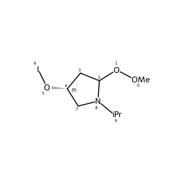 COOC1C[C@@H](OI)CN1C(C)C